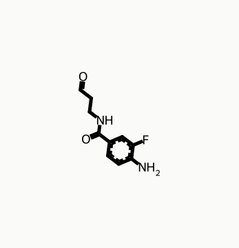 Nc1ccc(C(=O)NCCC=O)cc1F